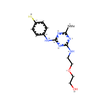 CNc1nc(NCCOCCO)nc(Nc2ccc(S)cc2)n1